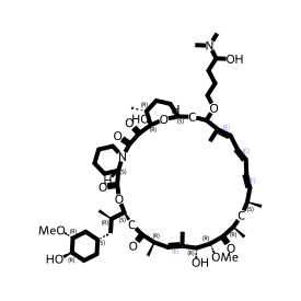 CO[C@@H]1C[C@H](C[C@@H](C)[C@@H]2CC(=O)[C@H](C)/C=C(\C)[C@@H](O)[C@@H](OC)C(=O)[C@H](C)C[C@H](C)/C=C/C=C/C=C(\C)C(OCCCC(O)N(C)C)C[C@@H]3CC[C@@H](C)[C@@](O)(O3)C(=O)C(=O)N3CCCC[C@H]3C(=O)O2)CC[C@H]1O